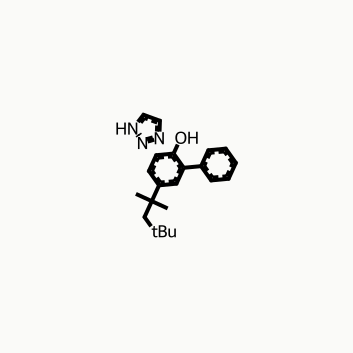 CC(C)(C)CC(C)(C)c1ccc(O)c(-c2ccccc2)c1.c1c[nH]nn1